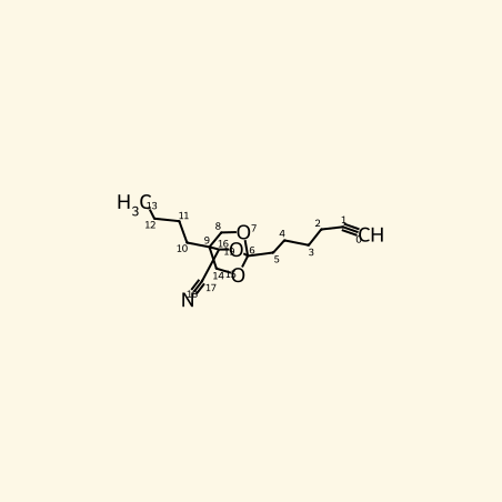 C#CCCCCC12OCC(CCCC)(CO1)C(C#N)O2